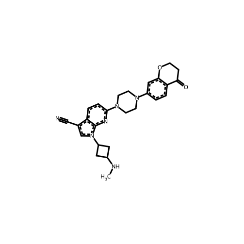 CNC1CC(n2cc(C#N)c3ccc(N4CCN(c5ccc6c(c5)OCCC6=O)CC4)nc32)C1